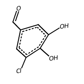 O=Cc1cc(O)c(O)c(Cl)c1